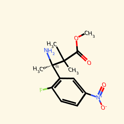 COC(=O)C(C)(C)[C@](C)(N)c1cc([N+](=O)[O-])ccc1F